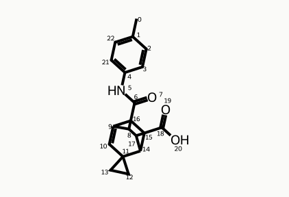 Cc1ccc(NC(=O)C2C3=CC4(CC4)C(CC3)C2C(=O)O)cc1